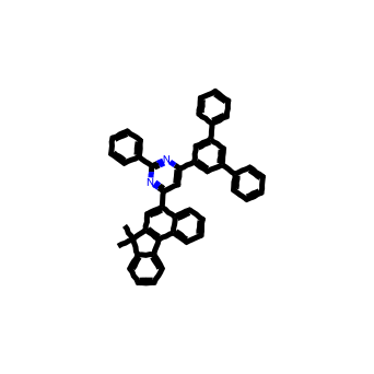 CC1(C)c2ccccc2-c2c1cc(-c1cc(-c3cc(-c4ccccc4)cc(-c4ccccc4)c3)nc(-c3ccccc3)n1)c1ccccc21